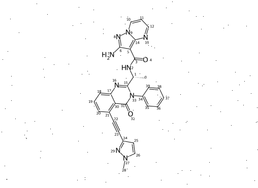 C[C@@H](NC(=O)c1c(N)nn2cccnc12)c1nc2cccc(C#Cc3ccn(C)n3)c2c(=O)n1-c1ccccc1